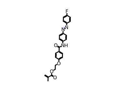 C=C(C)C(=O)OCCOc1ccc(C(=O)Nc2ccc(/N=N/c3ccc(F)cc3)cc2)cc1